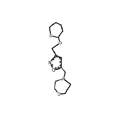 c1c(COC2CCCCO2)noc1CN1CCOCC1